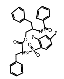 O=C(NC(COC(=O)C(Cc1ccccc1)NS(=O)(=O)c1ccc(F)cc1F)Cc1ccccc1)c1ccccc1